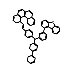 C1=CCCC(C2=CC=C(N(c3ccc(C=CC4CC=Cc5ccc6c(c54)C4CCC=CC4C=C6)cc3)c3cccc(-c4cccc5oc6ccccc6c45)c3)CC2)=C1